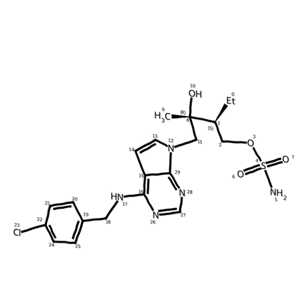 CC[C@@H](COS(N)(=O)=O)[C@@](C)(O)Cn1ccc2c(NCc3ccc(Cl)cc3)ncnc21